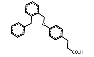 O=C(O)CCc1ccc(OCc2ccccc2Cc2ccccc2)cc1